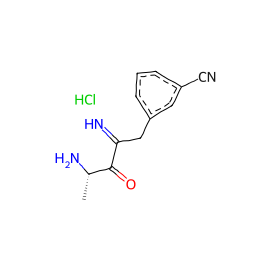 C[C@H](N)C(=O)C(=N)Cc1cccc(C#N)c1.Cl